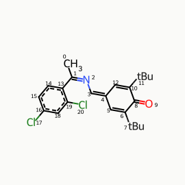 C/C(=N/C=C1C=C(C(C)(C)C)C(=O)C(C(C)(C)C)=C1)c1ccc(Cl)cc1Cl